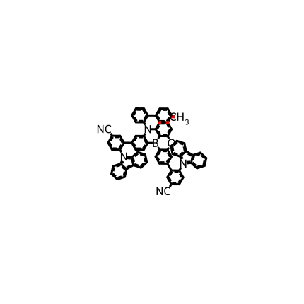 Cc1cc2c3c(c1)N(c1ccccc1-c1ccccc1)c1cc(-c4cc(C#N)ccc4-n4c5ccccc5c5ccccc54)ccc1B3c1ccc(-c3cc(C#N)ccc3-n3c4ccccc4c4ccccc43)cc1O2